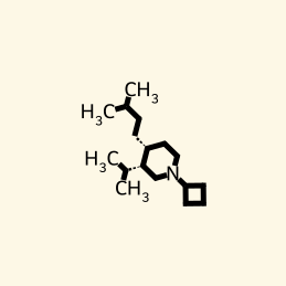 CC(C)CC[C@@H]1CCN(C2CCC2)C[C@@H]1C(C)C